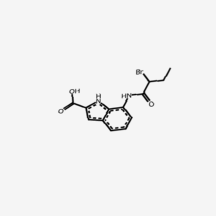 CCC(Br)C(=O)Nc1cccc2cc(C(=O)O)[nH]c12